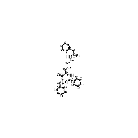 CC[C@H](Cc1ccccc1)NCCCCC(NC(=O)c1ccccc1)C(=O)NCc1ccccc1